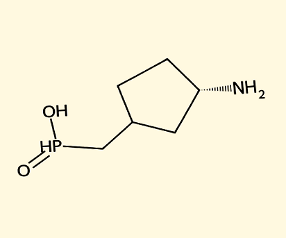 N[C@H]1CCC(C[PH](=O)O)C1